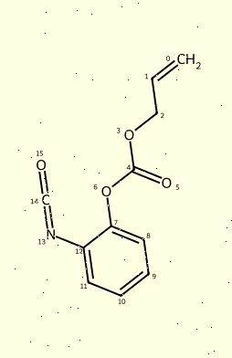 C=CCOC(=O)Oc1ccccc1N=C=O